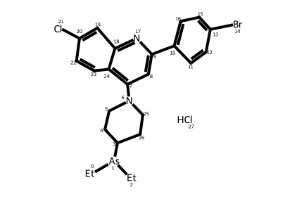 CC[As](CC)C1CCN(c2cc(-c3ccc(Br)cc3)nc3cc(Cl)ccc23)CC1.Cl